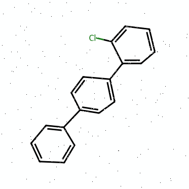 Clc1cc[c]cc1-c1ccc(-c2ccccc2)cc1